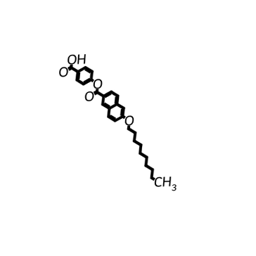 CCCCCCCCCCOc1ccc2cc(C(=O)Oc3ccc(C(=O)O)cc3)ccc2c1